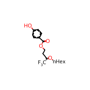 CCCCCCO[C@@H](CCOC(=O)c1ccc(O)cc1)C(F)(F)F